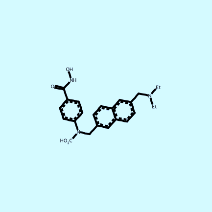 CCN(CC)Cc1ccc2cc(CN(C(=O)O)c3ccc(C(=O)NO)cc3)ccc2c1